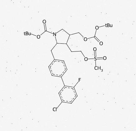 CC(C)(C)OC(=O)OCC1CN(C(=O)OC(C)(C)C)C(Cc2ccc(-c3cc(Cl)ccc3F)cc2)C1CCOS(C)(=O)=O